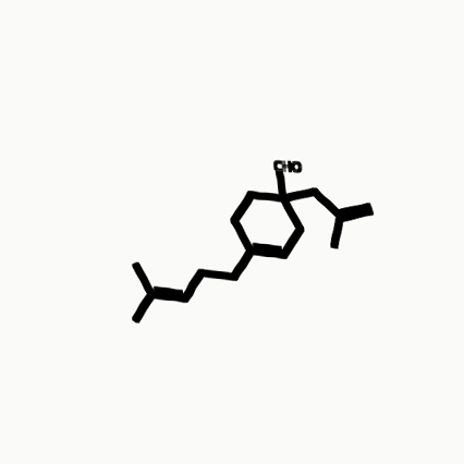 C=C(C)CC1(C=O)CC=C(CCC=C(C)C)CC1